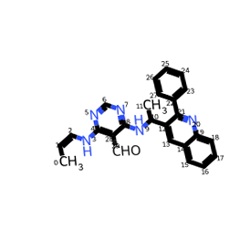 C/C=C\Nc1ncnc(NC(C)c2cc3ccccc3nc2-c2ccccc2)c1C=O